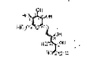 O=C[C@H](O)[C@@H](O)[C@@H](O)[C@H](O)CO[C@@H]1O[C@H](C(=O)O)[C@@H](O)[C@H](O)[C@H]1O